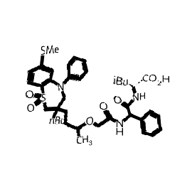 CCCCC1(CCC(C)OCC(=O)NC(C(=O)N[C@@H](C(=O)O)[C@@H](C)CC)c2ccccc2)CN(c2ccccc2)c2cc(SC)ccc2S(=O)(=O)C1